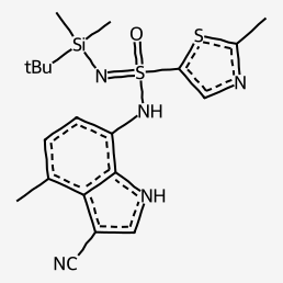 Cc1ncc(S(=O)(=N[Si](C)(C)C(C)(C)C)Nc2ccc(C)c3c(C#N)c[nH]c23)s1